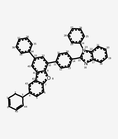 C1=CCC(c2ccc3oc4c(-c5ccc(-c6nc7ccccc7n6-c6ccccc6)cc5)cc(-c5ccccc5)cc4c3c2)C=C1